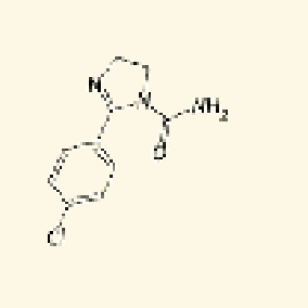 NC(=O)N1CCN=C1c1ccc(Cl)cc1